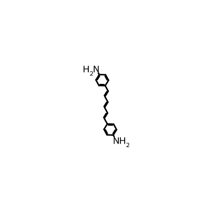 Nc1ccc(C=CC=CC=Cc2ccc(N)cc2)cc1